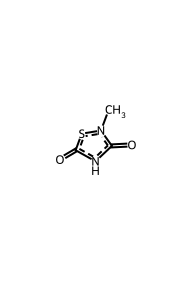 Cn1sc(=O)[nH]c1=O